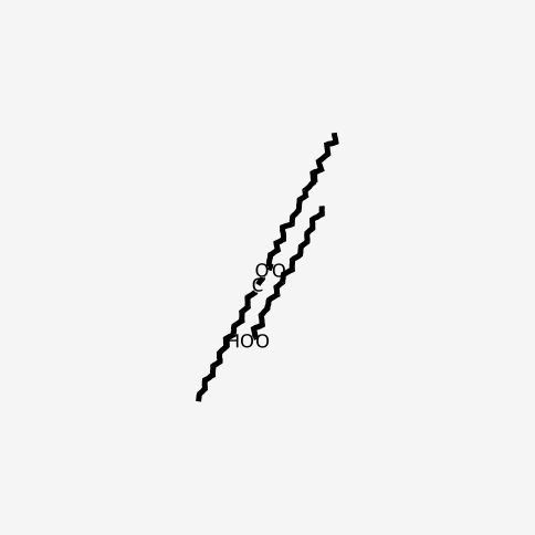 CCCCCCC=CCCCCCCCCCCCC(=O)OCCCCCCCCCCCCCCCCCCC.CCCCCCCCCCCCCCCCCCCC(=O)O